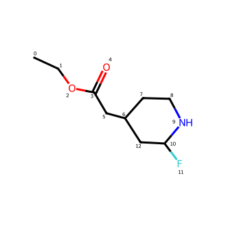 CCOC(=O)CC1CCNC(F)C1